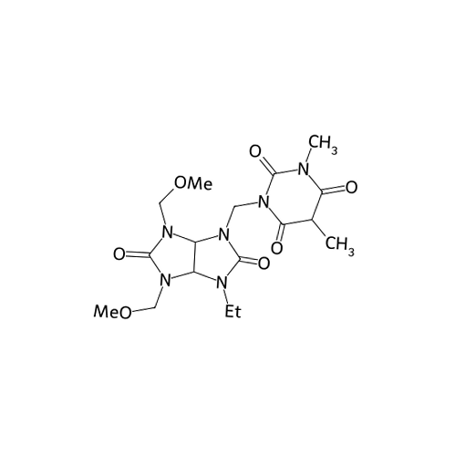 CCN1C(=O)N(CN2C(=O)C(C)C(=O)N(C)C2=O)C2C1N(COC)C(=O)N2COC